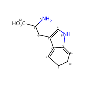 NC(Cc1c[nH]c2c1=CCCC=2)C(=O)O